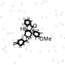 COc1ccc(N2C(=O)c3ccccc3NC23CCN(Cc2ccc(F)cc2)CC3)cc1